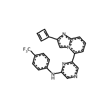 FC(F)(F)c1ccc(Nc2cncc(-c3cccc4nc(C5=CC=C5)cn34)n2)cc1